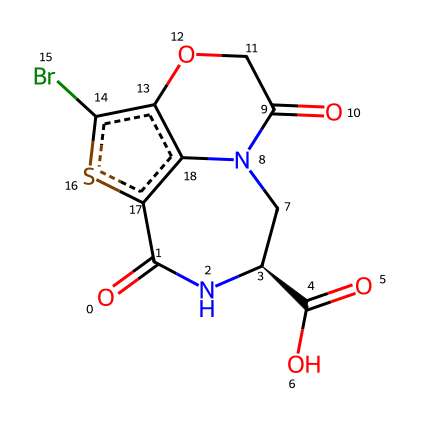 O=C1N[C@H](C(=O)O)CN2C(=O)COc3c(Br)sc1c32